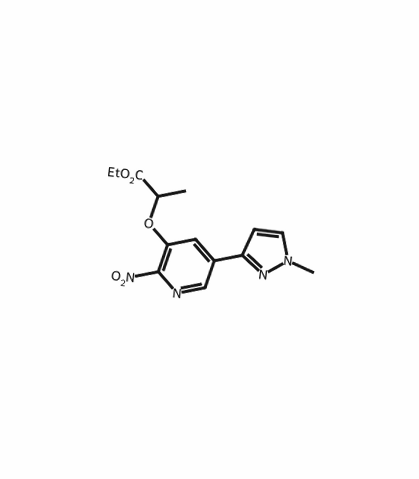 CCOC(=O)C(C)Oc1cc(-c2ccn(C)n2)cnc1[N+](=O)[O-]